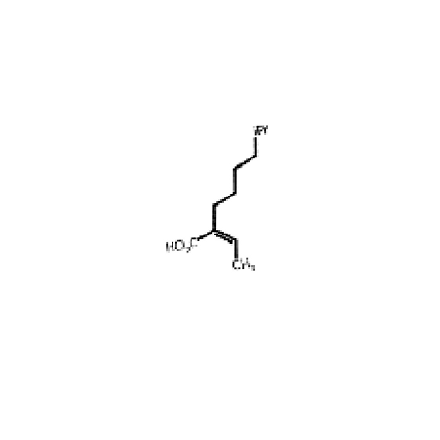 CC=C(CCCCC(C)C)C(=O)O